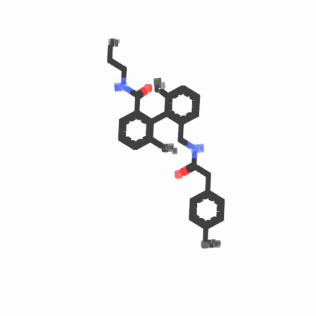 COc1ccc(CC(=O)NCc2cccc(C)c2-c2c(C)cccc2C(=O)NCCC(C)C)cc1